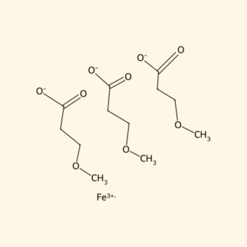 COCCC(=O)[O-].COCCC(=O)[O-].COCCC(=O)[O-].[Fe+3]